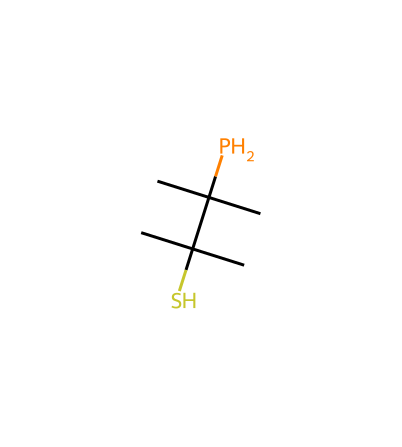 CC(C)(P)C(C)(C)S